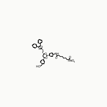 CONC(=O)CCCCCCC(=O)Nc1ccc([C@H]2O[C@@H](CSc3nc(-c4ccccc4)c(-c4ccccc4)o3)C[C@@H](c3ccc(CO)cc3)O2)cc1